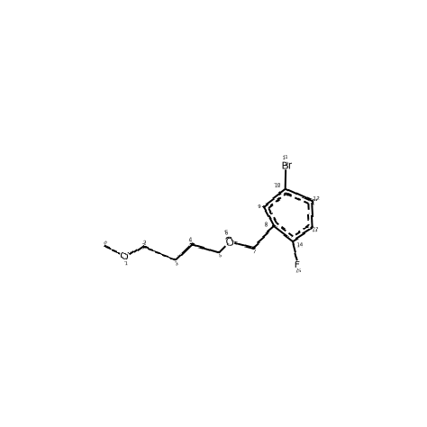 COCCCCOCc1cc(Br)ccc1F